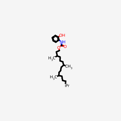 CC(C)CCCC(C)CCCC(C)CCCC(C)CCOC(=O)Nc1ccccc1O